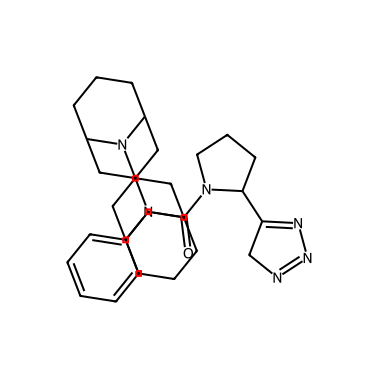 O=C(N1CCCC1C1=NN=NC1)N(c1ccccc1)C1CC2CCCC(C1)N2C1CC2CCCC(C2)C1